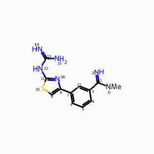 CNC(=N)c1cccc(-c2csc(NC(=N)N)n2)c1